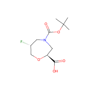 CC(C)(C)OC(=O)N1C[C@@H](F)CO[C@H](C(=O)O)C1